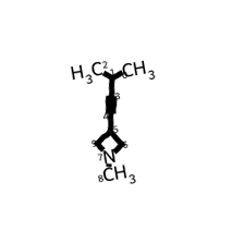 CC(C)C#CC1CN(C)C1